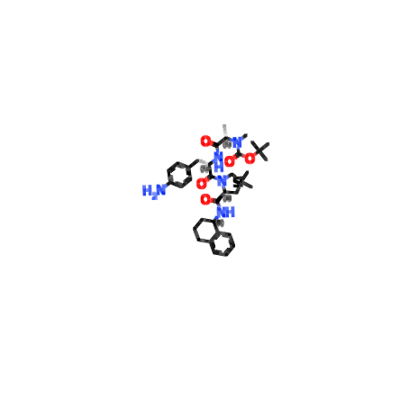 C[C@@H](C(=O)N[C@@H](Cc1ccc(N)cc1)C(=O)N1C[Si](C)(C)C[C@H]1C(=O)N[C@@H]1CCCc2ccccc21)N(C)C(=O)OC(C)(C)C